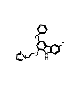 Fc1ccc2[nH]c3c(OCCn4cccn4)cc(Oc4ccccc4)cc3c2c1